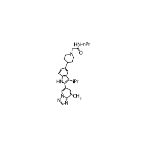 CCCNC(=O)CN1CCC(c2ccc3[nH]c(-c4cc(C)c5ncnn5c4)c(C(C)C)c3c2)CC1